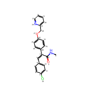 CNC(=O)C(=Cc1ccc(Cl)cc1)c1ccc(OCc2ccccn2)cc1